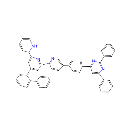 C1=CNC(c2cc(-c3ccccc3-c3ccccc3)cc(-c3ccc(-c4ccc(-c5cc(-c6ccccc6)nc(-c6ccccc6)n5)cc4)cn3)n2)C=C1